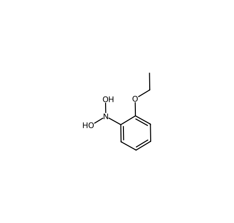 CCOc1ccccc1N(O)O